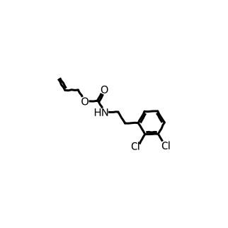 C=CCOC(=O)NCCc1cccc(Cl)c1Cl